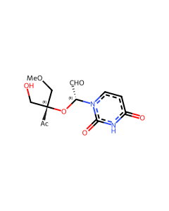 COC[C@@](CO)(O[C@H](C=O)n1ccc(=O)[nH]c1=O)C(C)=O